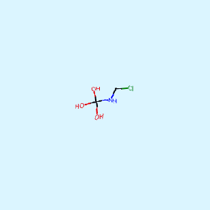 OC(O)(O)NCCl